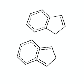 C1=Cc2ccccc2C1.C1=c2ccccc2=CC1